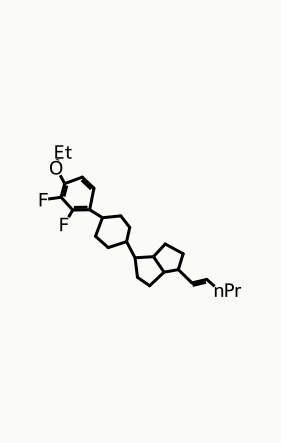 CCC/C=C/C1CCC2C1CCC2C1CCC(c2ccc(OCC)c(F)c2F)CC1